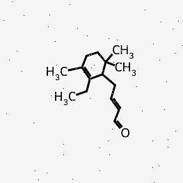 CCC1=C(C)CCC(C)(C)C1CC=CC=O